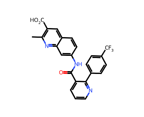 Cc1nc2cc(NC(=O)c3cccnc3-c3ccc(C(F)(F)F)cc3)ccc2cc1C(=O)O